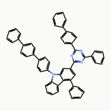 c1ccc(-c2ccc(-c3ccc(-n4c5ccccc5c5c(-c6ccccc6)cc(-c6nc(-c7ccccc7)nc(-c7ccc(-c8ccccc8)cc7)n6)cc54)cc3)cc2)cc1